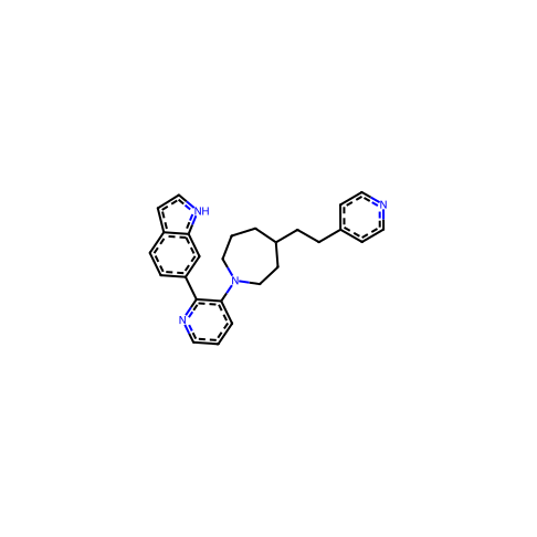 c1cnc(-c2ccc3cc[nH]c3c2)c(N2CCCC(CCc3ccncc3)CC2)c1